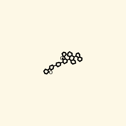 c1ccc2c(-c3c4ccccc4c(-c4ccc(-c5ccc(-c6ccc7c(c6)oc6ccccc67)cc5)c5oc6ccccc6c45)c4ccccc34)cccc2c1